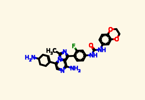 Cc1nc(-c2ccc(NC(=O)Nc3ccc4c(c3)OCCO4)cc2F)c2c(N)ncc(C3=CCC(N)CC3)n12